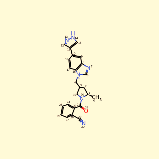 C[C@@H]1CC(Cn2cnc3cc(-c4cn[nH]c4)ccc32)CN1C(=O)c1ccccc1C#N